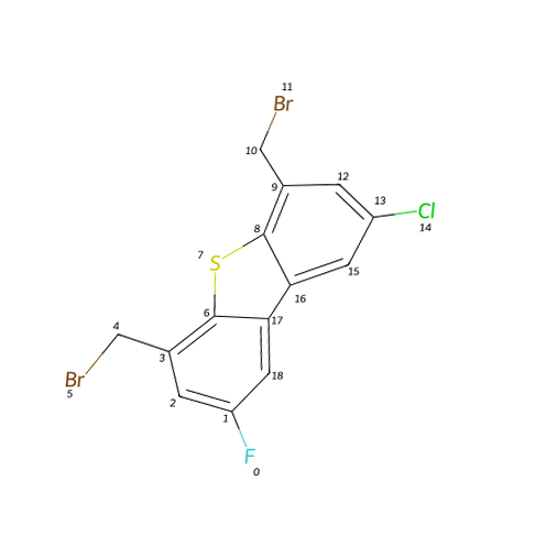 Fc1cc(CBr)c2sc3c(CBr)cc(Cl)cc3c2c1